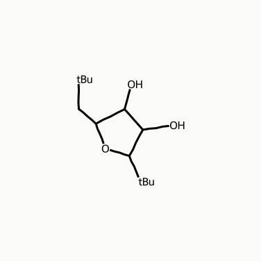 CC(C)(C)CC1OC(C(C)(C)C)C(O)C1O